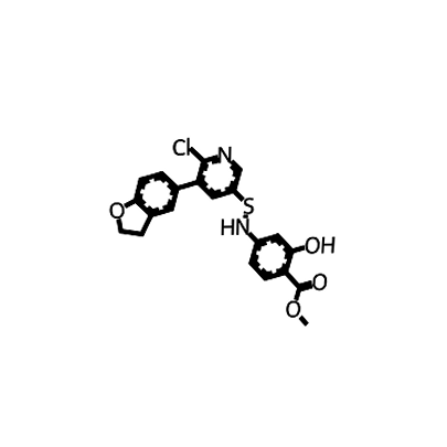 COC(=O)c1ccc(NSc2cnc(Cl)c(-c3ccc4c(c3)CCO4)c2)cc1O